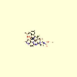 Cc1cccc(-c2nc3c(cc2Cl)c(N2CCN(C(=O)OC(C)(C)C)CC2C)nc(=O)n3-c2c(C)ccnc2C(C)C)c1O